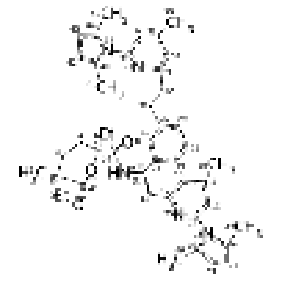 CC[C@]1(C)CC[C@@](CC)(C(=O)N[C@H](Cc2cc(C)cc(-n3c(C)ccc3C)n2)c2cccc(CCc3cc(C)cc(-n4c(C)ccc4C)n3)c2)OC1=O